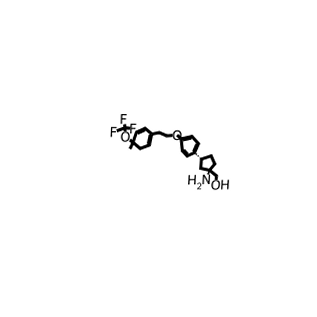 CC1(OC(F)(F)F)C=CC(CCOc2ccc([C@@H]3CC[C@](N)(CO)C3)cc2)=CC1